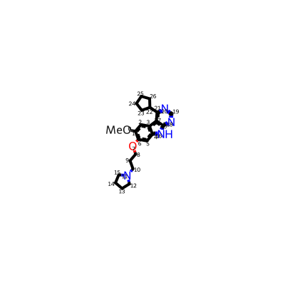 COc1cc2c(cc1OCCCN1CCCC1)[nH]c1ncnc(C3CCCC3)c12